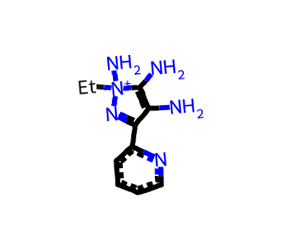 CC[N+]1(N)N=C(c2ccccn2)C(N)=C1N